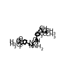 CN(Cc1ccc(-c2nnc(-c3nc(-c4ccc5c(c4)[C@@H](F)C(C)(C)S5(=O)=O)cnc3N)o2)cc1)C(=O)OC(C)(C)C